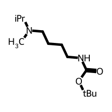 CC(C)N(C)CCCCNC(=O)OC(C)(C)C